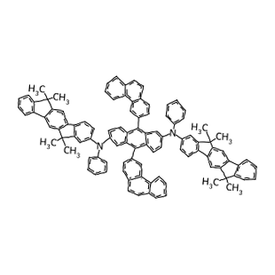 CC1(C)c2ccccc2-c2cc3c(cc21)-c1ccc(N(c2ccccc2)c2ccc4c(-c5ccc6ccc7ccccc7c6c5)c5cc(N(c6ccccc6)c6ccc7c(c6)C(C)(C)c6cc8c(cc6-7)C(C)(C)c6ccccc6-8)ccc5c(-c5ccc6ccc7ccccc7c6c5)c4c2)cc1C3(C)C